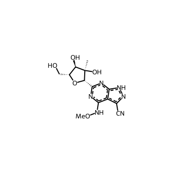 CONc1nc([C@@H]2O[C@H](CO)[C@@H](O)[C@@]2(C)O)nc2[nH]nc(C#N)c12